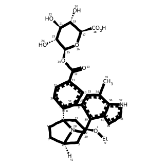 CCO[C@H]1C[C@H]2CC[C@@](c3ccc(C(=O)O[C@@H]4O[C@H](C(=O)O)[C@@H](O)[C@H](O)[C@H]4O)cc3)(C1)N2Cc1c(OC)cc(C)c2[nH]ccc12